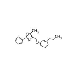 CCCc1cccc(OCc2nc(-c3ccccc3)oc2C)c1